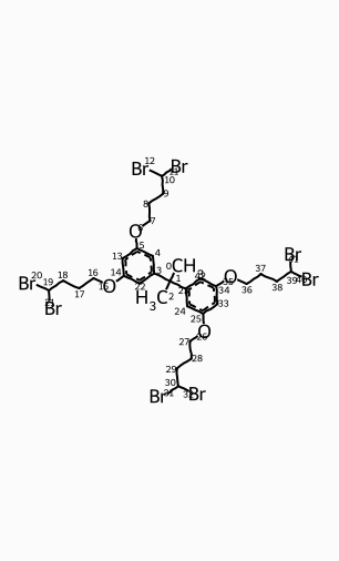 CC(C)(c1cc(OCCCC(Br)Br)cc(OCCCC(Br)Br)c1)c1cc(OCCCC(Br)Br)cc(OCCCC(Br)Br)c1